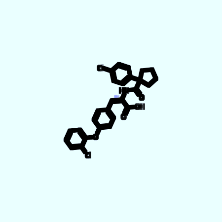 O=C(O)/C(=C\c1ccc(Oc2ccccc2Cl)cc1)NC(=O)C1(c2ccc(Cl)cc2)CCCC1